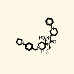 CCN(C(=O)N(C)C1CCCN(c2ccccc2)C1)C1(C=O)CCN(Cc2ccc(N3CCCC3)cc2)CC1